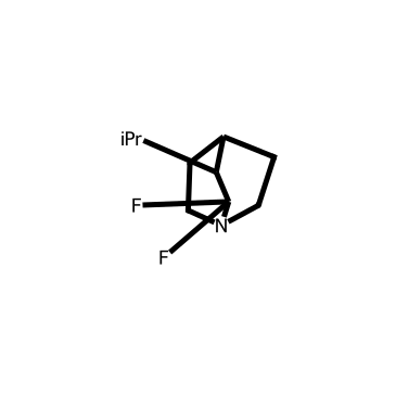 CC(C)C1C2CCN(CC2)C1(F)F